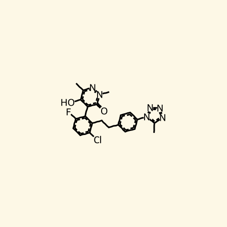 Cc1nn(C)c(=O)c(-c2c(F)ccc(Cl)c2CCc2ccc(-n3nnnc3C)cc2)c1O